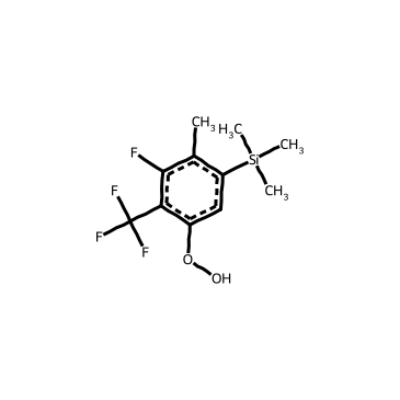 Cc1c([Si](C)(C)C)cc(OO)c(C(F)(F)F)c1F